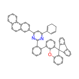 C1=CC(c2cc(-c3ccc4c(ccc5ccccc54)c3)nc(-c3ccccc3-c3cccc4c3Oc3ccccc3C43c4ccccc4-c4ccccc43)n2)=CCC1